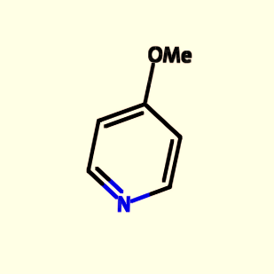 [CH2-][OH+]c1ccncc1